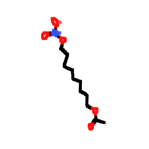 CC(=O)OCCCCCCCCCO[N+](=O)[O-]